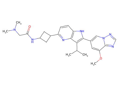 COc1cc(-c2[nH]c3ccc(C4CC(NC(=O)CN(C)C)C4)nc3c2C(C)C)cn2ncnc12